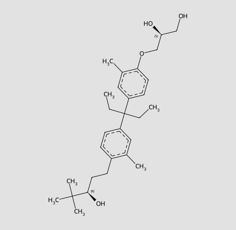 CCC(CC)(c1ccc(CC[C@@H](O)C(C)(C)C)c(C)c1)c1ccc(OC[C@@H](O)CO)c(C)c1